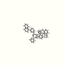 C1=CC2c3ccc(C4NC(c5cccc(-c6cccc7ccccc67)c5)=NC(c5ccccc5)N4)cc3C3(c4ccccc4Oc4ccccc43)C2C=C1